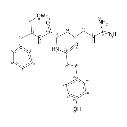 COCC(Cc1ccccc1)NC(=O)C(CCCNC(=N)N)NC(=O)CCc1ccc(O)cc1